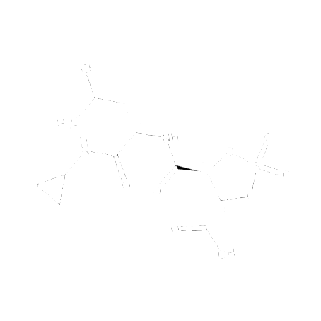 CC(C)C[C@H](NC(=O)[C@H]1OS(=O)(=O)O[C@@H]1C(=O)O)C(=O)NC1CC1